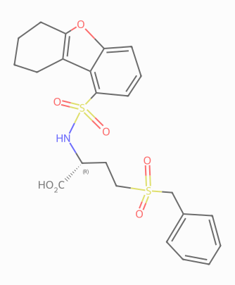 O=C(O)[C@@H](CCS(=O)(=O)Cc1ccccc1)NS(=O)(=O)c1cccc2oc3c(c12)CCCC3